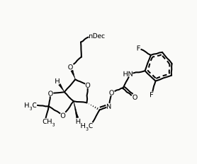 CCCCCCCCCCCCO[C@H]1O[C@H](/C(C)=N\OC(=O)Nc2c(F)cccc2F)[C@@H]2OC(C)(C)O[C@H]12